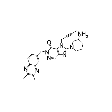 CC#CCn1c(N2CCCC(N)C2)nc2cnn(Cc3ccc4nc(C)c(C)nc4c3)c(=O)c21